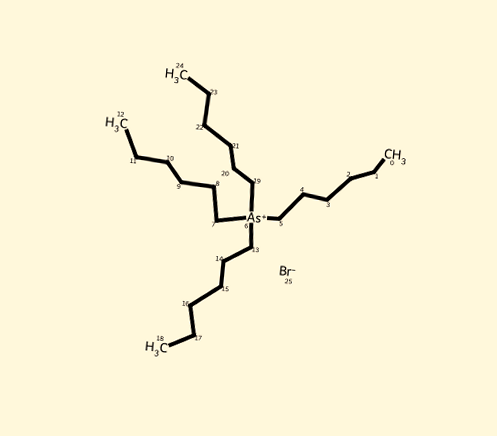 CCCCCC[As+](CCCCCC)(CCCCCC)CCCCCC.[Br-]